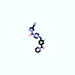 N#Cc1cnn(C(=O)N2CCN(Cc3ccc(C(=O)N4CCCCC4)cc3F)CC2)c1